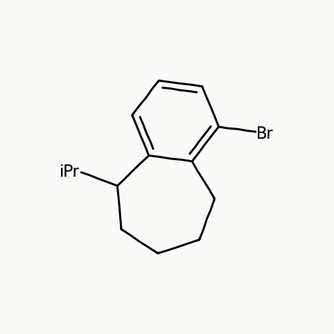 CC(C)C1CCCCc2c(Br)cccc21